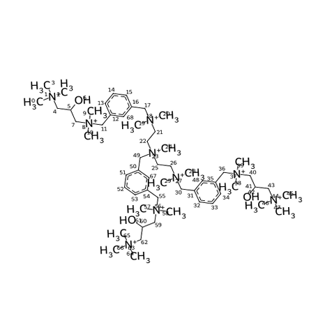 C[N+](C)(C)CC(O)C[N+](C)(C)Cc1cccc(C[N+](C)(C)CC[N+](C)(CC[N+](C)(C)Cc2cccc(C[N+](C)(C)CC(O)C[N+](C)(C)C)c2)Cc2cccc(C[N+](C)(C)CC(O)C[N+](C)(C)C)c2)c1